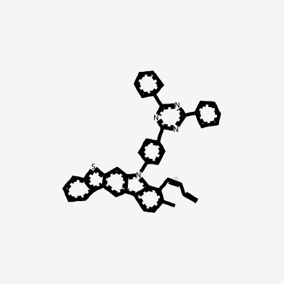 C=C/C=C\c1c(C)ccc2c3cc4c(cc3n(-c3ccc(-c5nc(-c6ccccc6)nc(-c6ccccc6)n5)cc3)c12)sc1ccccc14